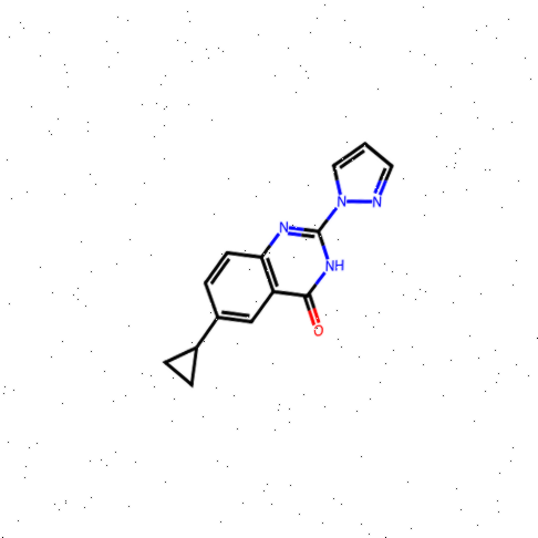 O=c1[nH]c(-n2cccn2)nc2ccc(C3CC3)cc12